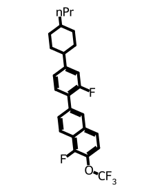 CCCC1CCC(c2ccc(-c3ccc4c(F)c(OC(F)(F)F)ccc4c3)c(F)c2)CC1